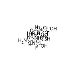 Nc1nc2c(ncn2[C@@H]2O[C@H](CO)[C@H](F)[C@H]2O[P@](=O)(S)OC[C@H]2O[C@@H](n3cnc4c3N=CNC4N)[C@@H](F)[C@@H]2O)c(=O)[nH]1